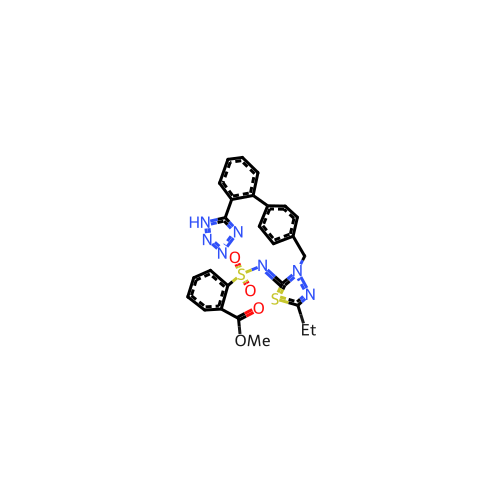 CCc1nn(Cc2ccc(-c3ccccc3-c3nnn[nH]3)cc2)c(=NS(=O)(=O)c2ccccc2C(=O)OC)s1